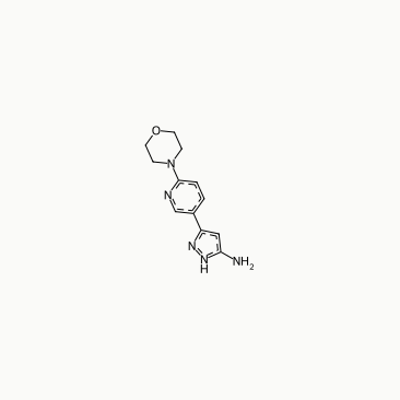 Nc1cc(-c2ccc(N3CCOCC3)nc2)n[nH]1